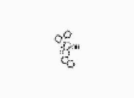 O=C1OC(c2ccccc2)(c2ccccc2)CC(O)=C1Cc1cccc2ccccc12